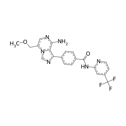 COCc1cnc(N)c2c(-c3ccc(C(=O)Nc4cc(C(F)(F)F)ccn4)cc3)ncn12